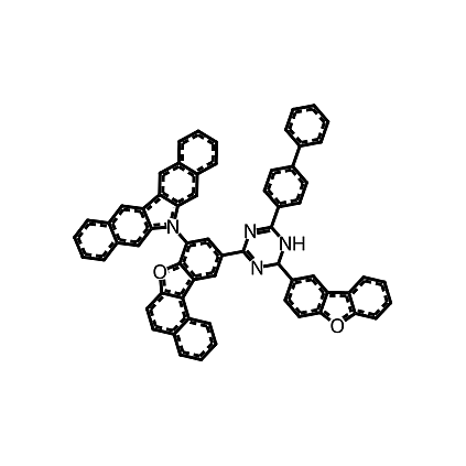 c1ccc(-c2ccc(C3=NC(c4cc(-n5c6cc7ccccc7cc6c6cc7ccccc7cc65)c5oc6ccc7ccccc7c6c5c4)=NC(c4ccc5oc6ccccc6c5c4)N3)cc2)cc1